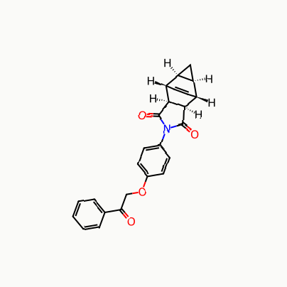 O=C(COc1ccc(N2C(=O)[C@@H]3[C@@H]4C=C[C@@H]([C@H]5C[C@@H]45)[C@@H]3C2=O)cc1)c1ccccc1